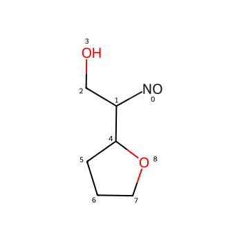 O=NC(CO)C1CCCO1